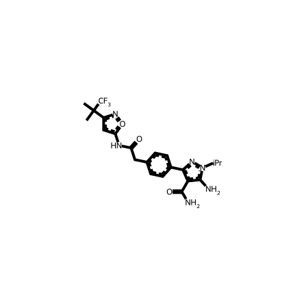 CC(C)n1nc(-c2ccc(CC(=O)Nc3cc(C(C)(C)C(F)(F)F)no3)cc2)c(C(N)=O)c1N